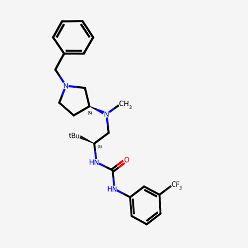 CN(C[C@@H](NC(=O)Nc1cccc(C(F)(F)F)c1)C(C)(C)C)[C@H]1CCN(Cc2ccccc2)C1